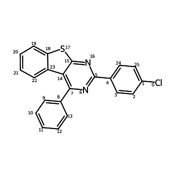 Clc1ccc(-c2nc(-c3ccccc3)c3c(n2)sc2ccccc23)cc1